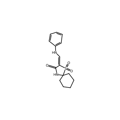 O=C1NC2(CCCCC2)S(=O)(=O)/C1=C/Nc1ccccc1